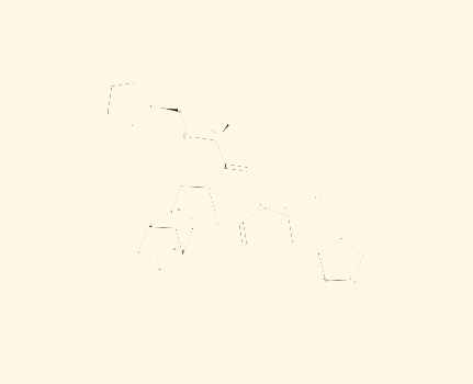 CC(C)(C)[C@H](NC(=O)[C@H]1CCCO1)C(=O)N1C[C@H]2[C@@H]([C@H]1C(=O)N[C@H](C#N)C[C@@H]1CCNC1=O)[C@H]1C=C[C@@H]2C1